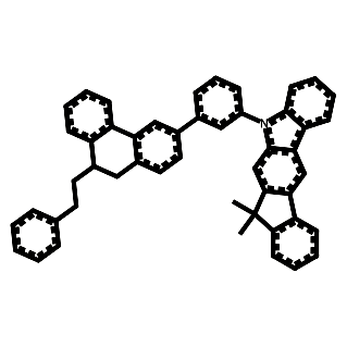 CC1(C)c2ccccc2-c2cc3c4ccccc4n(-c4cccc(-c5ccc6c(c5)-c5ccccc5C(CCc5ccccc5)C6)c4)c3cc21